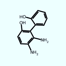 Nc1ccc(O)c(-c2ccccc2O)c1N